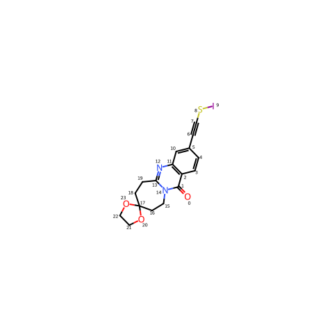 O=c1c2ccc(C#CSI)cc2nc2n1CCC1(CC2)OCCO1